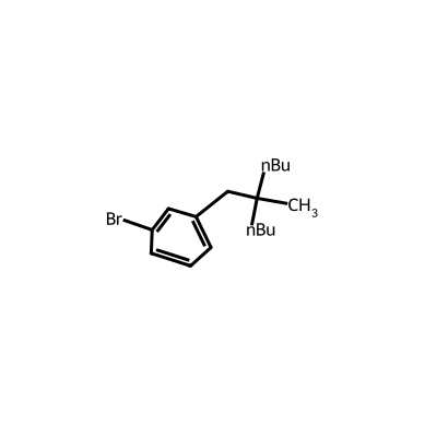 CCCCC(C)(CCCC)Cc1cccc(Br)c1